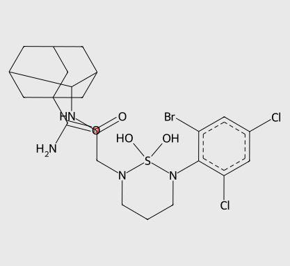 NC(=O)C12CC3CC(C1)C(NC(=O)CN1CCCN(c4c(Cl)cc(Cl)cc4Br)S1(O)O)C(C3)C2